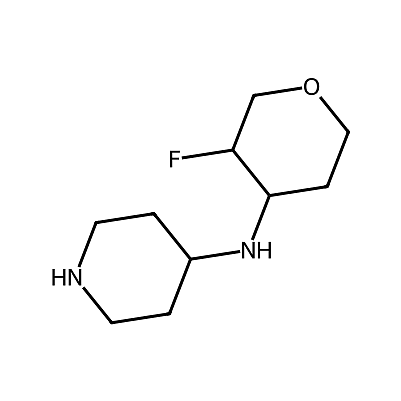 FC1COCCC1NC1CCNCC1